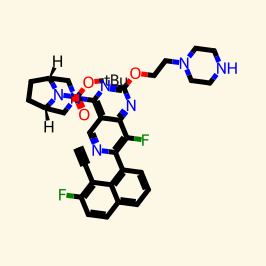 C#Cc1c(F)ccc2cccc(-c3ncc4c(N5C[C@H]6CC[C@@H](C5)N6C(=O)OC(C)(C)C)nc(OCCN5CCNCC5)nc4c3F)c12